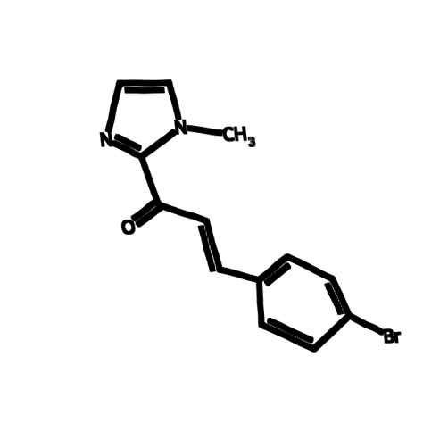 Cn1ccnc1C(=O)C=Cc1ccc(Br)cc1